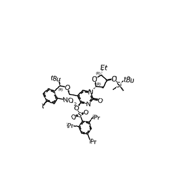 CC[C@H]1O[C@@H](n2cc(CO[C@@H](c3ccc(I)cc3[N+](=O)[O-])C(C)(C)C)c(OS(=O)(=O)c3c(C(C)C)cc(C(C)C)cc3C(C)C)nc2=O)CC1O[Si](C)(C)C(C)(C)C